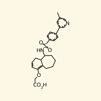 Cc1cncc(-c2ccc(S(=O)(=O)NC3CCCCC4=C(OCC(=O)O)C=CCC43)cc2)c1